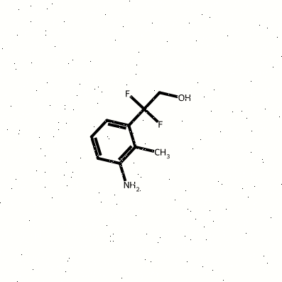 Cc1c(N)cccc1C(F)(F)CO